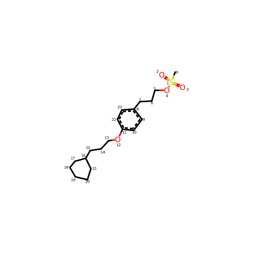 CS(=O)(=O)OCCCc1ccc(OCCCC2CCCCC2)cc1